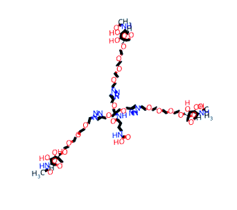 CC(=O)N[C@H]1[C@H]2OC[C@](COCCOCCOCCOCCn3cc(COCC(COCc4cn(CCOCCOCCOCCOC[C@@]56CO[C@@H](O5)[C@H](NC(C)=O)[C@@H](O)[C@H]6O)nn4)(COCc4cn(CCOCCOCCOCCOC[C@@]56CO[C@@H](O5)[C@H](NC(C)=O)[C@@H](O)[C@H]6O)nn4)NC(=O)CCCNC(=O)O)nn3)(O2)[C@H](O)[C@@H]1O